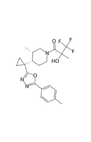 Cc1ccc(-c2nnc(C3([C@H]4CCN(C(=O)C(C)(O)C(F)(F)F)C[C@H]4C)CC3)o2)cc1